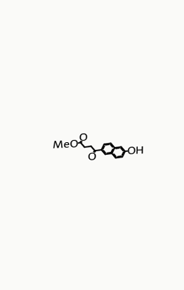 COC(=O)CCC(=O)c1ccc2cc(O)ccc2c1